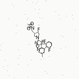 Cc1cnc(C2(CF)CC(N3CC(/C=N/S(C)(=O)=O)[C@@H](F)C3)=NO2)c(-c2c(F)cccc2F)c1